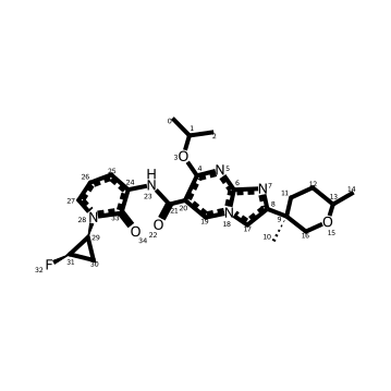 CC(C)Oc1nc2nc([C@@]3(C)CCC(C)OC3)cn2cc1C(=O)Nc1cccn([C@H]2C[C@H]2F)c1=O